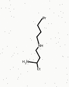 CCC(N)CCNCCCC(C)C